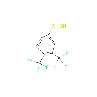 FC(F)(F)c1ccc(SS)cc1C(F)(F)F